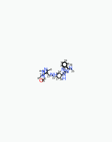 Cc1nn(C)c(N2CCOCC2)c1CNC[C@H]1CC[C@@H](Nc2nc(N(C)C)c3ccccc3n2)CC1